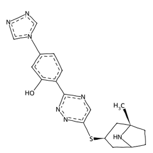 C[C@]12CCC(C[C@@H](Sc3cnc(-c4ccc(-n5cnnc5)cc4O)nn3)C1)N2